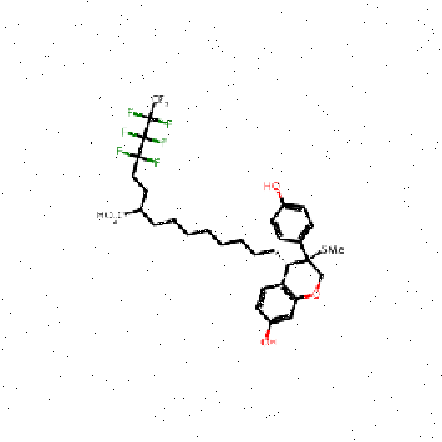 CS[C@@]1(c2ccc(O)cc2)COc2cc(O)ccc2[C@@H]1CCCCCCCCC(CCC(F)(F)C(F)(F)C(F)(F)C(F)(F)F)C(=O)O